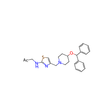 CC(=O)CNc1nc(CN2CCC(OC(c3ccccc3)c3ccccc3)CC2)cs1